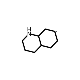 [CH]1CCC2CCCNC2C1